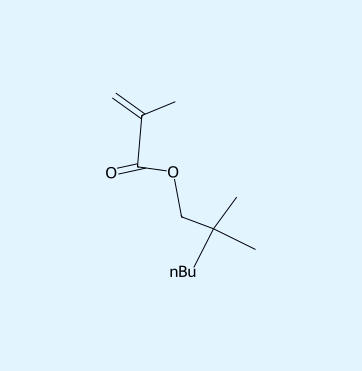 C=C(C)C(=O)OCC(C)(C)CCCC